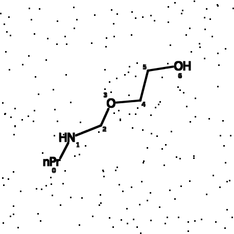 CCCNCOCCO